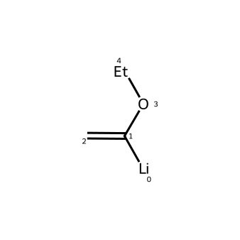 [Li][C](=C)OCC